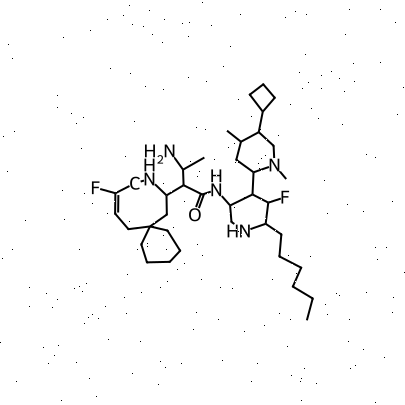 CCCCCCC1NCC(NC(=O)C(C(C)N)C2CC3(C/C=C(/F)CN2)CCCCC3)C(C2CC(C)C(C3CCC3)CN2C)C1F